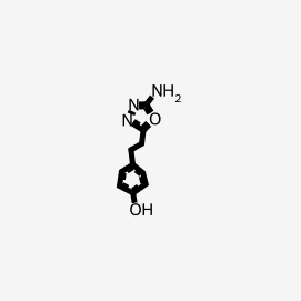 Nc1nnc(CCc2ccc(O)cc2)o1